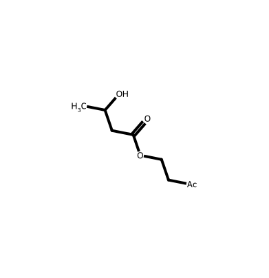 CC(=O)CCOC(=O)CC(C)O